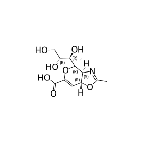 CC1=N[C@H]2[C@@H](C=C(C(=O)O)O[C@@]2(C)[C@H](O)[C@H](O)CO)O1